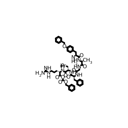 CC(C)C[C@H](NC(=O)[C@H](Cc1ccccc1)NC(=O)CNC(=O)[C@H](C)NC(=O)[C@@H](N)Cc1ccc(OCc2ccccc2)cc1)C(=O)N[C@@H](CCCNC(=N)N)C(=O)OC(=O)OCc1ccccc1